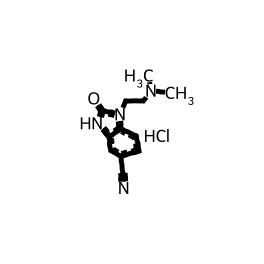 CN(C)CCn1c(=O)[nH]c2cc(C#N)ccc21.Cl